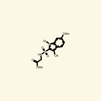 CCn1c(S(=O)(=O)NCC(=O)OC)c(C#N)c2ccc(OC)cc21